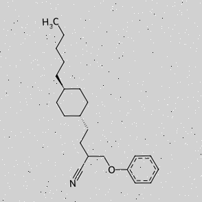 CCCCC[C@H]1CC[C@H](CCC(C#N)COc2ccccc2)CC1